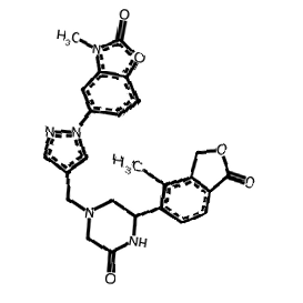 Cc1c(C2CN(Cc3cnn(-c4ccc5oc(=O)n(C)c5c4)c3)CC(=O)N2)ccc2c1COC2=O